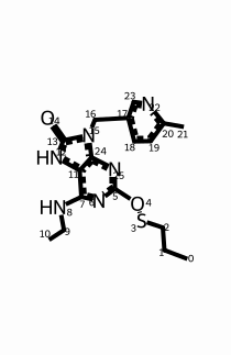 CCCSOc1nc(NCC)c2[nH]c(=O)n(Cc3ccc(C)nc3)c2n1